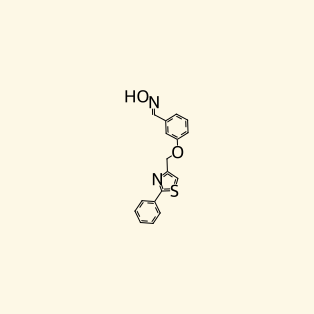 O/N=C/c1cccc(OCc2csc(-c3ccccc3)n2)c1